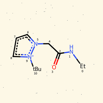 CCNC(=O)Cn1ccc[n+]1C(C)(C)C